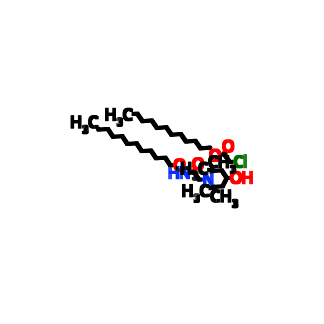 CCCCCCCCCCCCOC(=O)CCl.CCCCCCCCCCCCONC(=O)CN1C(C)(C)CC(O)CC1(C)C